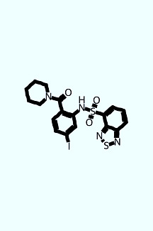 O=C(c1ccc(I)cc1NS(=O)(=O)c1cccc2nsnc12)N1CCCCC1